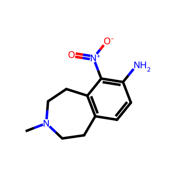 CN1CCc2ccc(N)c([N+](=O)[O-])c2CC1